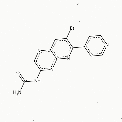 CCc1cc2ncc(NC(N)=O)nc2nc1-c1ccncc1